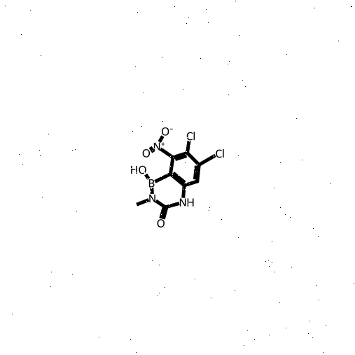 CN1B(O)c2c(cc(Cl)c(Cl)c2[N+](=O)[O-])NC1=O